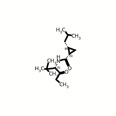 CCC(=O)[C@@H](NC(=O)[C@H]1C[C@H]1CC(C)C)C(C)(C)C